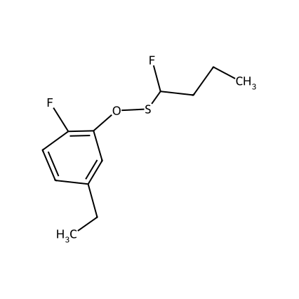 CCCC(F)SOc1cc(CC)ccc1F